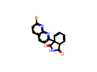 O=C1NC(=O)C2(c3ccc4ccc(Br)nc4n3)C=CC=CC12